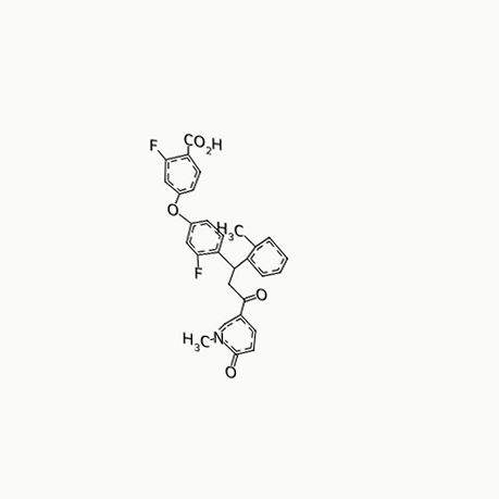 Cc1ccccc1C(CC(=O)c1ccc(=O)n(C)c1)c1ccc(Oc2ccc(C(=O)O)c(F)c2)cc1F